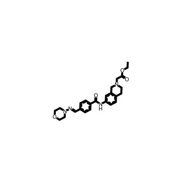 CCOC(=O)CN1CCc2ccc(NC(=O)c3ccc(C=NN4CCOCC4)cc3)cc2C1